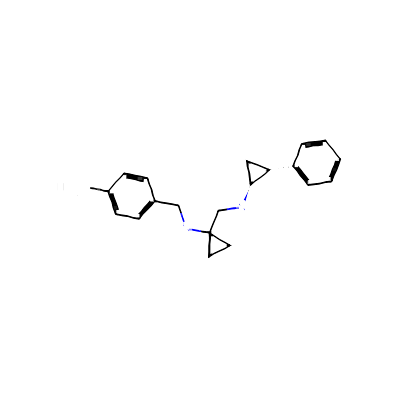 O=C(O)c1ccc(CNC2(CN[C@H]3C[C@@H]3c3ccccc3)CC2)cc1